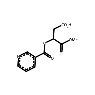 COC(=O)C(CC(=O)O)OC(=O)c1cccnc1